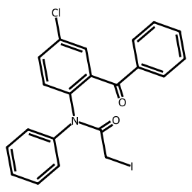 O=C(c1ccccc1)c1cc(Cl)ccc1N(C(=O)CI)c1ccccc1